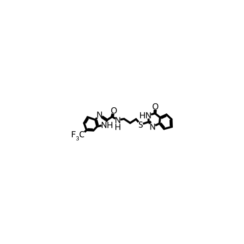 O=C(NCCCSc1nc2ccccc2c(=O)[nH]1)c1nc2ccc(C(F)(F)F)cc2[nH]1